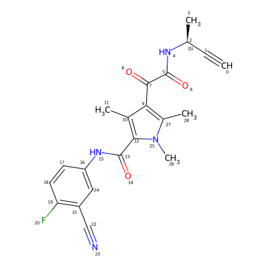 C#C[C@H](C)NC(=O)C(=O)c1c(C)c(C(=O)Nc2ccc(F)c(C#N)c2)n(C)c1C